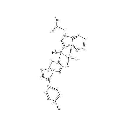 O=C(O)Cn1cc(C(O)(c2ccc3c(cnn3-c3ccc(F)cc3)c2)C(F)(F)F)c2ccccc21